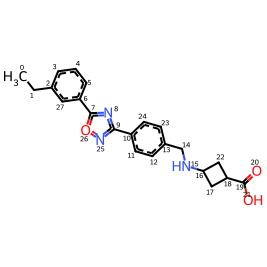 CCc1cccc(-c2nc(-c3ccc(CNC4CC(C(=O)O)C4)cc3)no2)c1